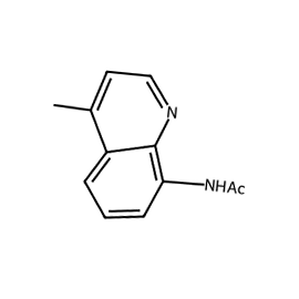 CC(=O)Nc1cccc2c(C)ccnc12